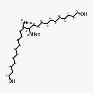 CCCCCCC(CCCCCCCCCCCO)C(CCCCCC)CCCCCCCCCCCO